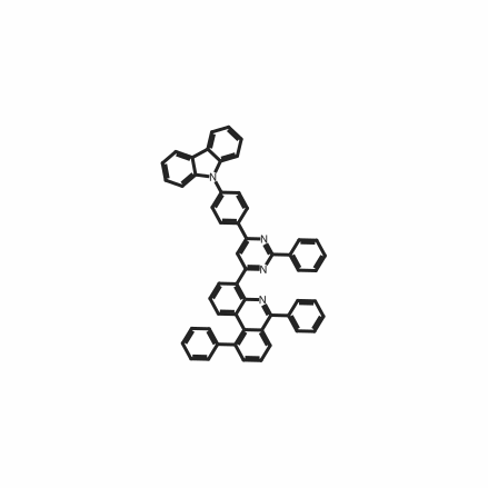 c1ccc(-c2nc(-c3ccc(-n4c5ccccc5c5ccccc54)cc3)cc(-c3cccc4c3nc(-c3ccccc3)c3cccc(-c5ccccc5)c34)n2)cc1